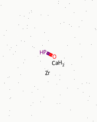 O=P.[CaH2].[Zr]